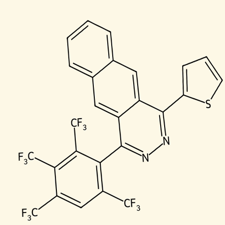 FC(F)(F)c1cc(C(F)(F)F)c(C(F)(F)F)c(C(F)(F)F)c1-c1nnc(-c2cccs2)c2cc3ccccc3cc12